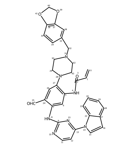 C=CC(=O)Nc1cc(Nc2nccc(-n3ccc4ccccc43)n2)c(C=O)cc1N1CCN(Cc2ccc3c(c2)OCO3)CC1